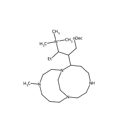 CCCCCCCCCCCC(C1CCNCCN2CCCN(C)CCN1CC2)C(CC)[N+](C)(C)C